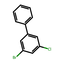 Clc1cc(Br)cc(-c2ccccc2)c1